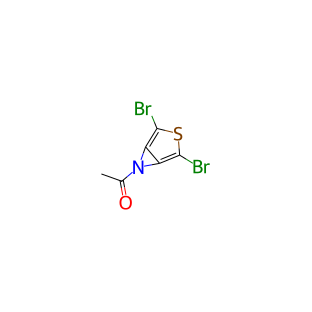 CC(=O)N1c2c(Br)sc(Br)c21